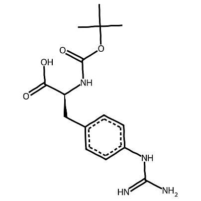 CC(C)(C)OC(=O)N[C@@H](Cc1ccc(NC(=N)N)cc1)C(=O)O